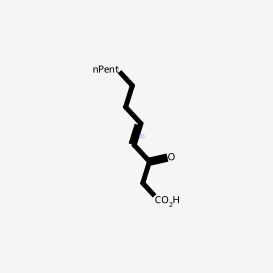 CCCCCCC/C=C/C(=O)CC(=O)O